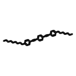 CCCCCCCCCc1ccc(C#Cc2ccc(C#Cc3ccc(CCCCCCC)cc3)cc2)cc1